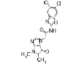 CC1C(=O)c2c(ncn2CC(=O)Nc2nc3cc(Cl)c(Cl)cc3o2)N1C